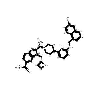 COC(=O)c1ccc2nc([C@H](C)N3CCC(c4cccc(OCc5cccc6cc(F)cnc56)n4)CC3)n(C[C@@H]3CCO3)c2c1